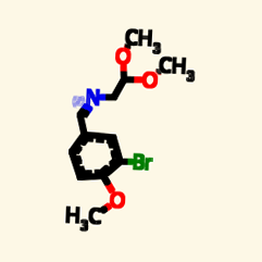 COc1ccc(/C=N\CC(OC)OC)cc1Br